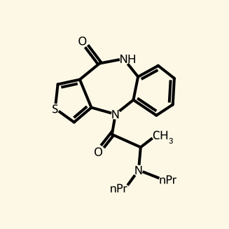 CCCN(CCC)C(C)C(=O)N1c2ccccc2NC(=O)c2cscc21